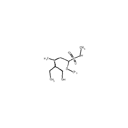 CBS(=O)(=O)C(CN(C)C(CC)CO)OC